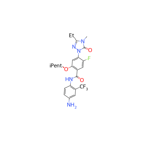 CCC[C@H](C)Oc1cc(-n2nc(CC)n(C)c2=O)c(F)cc1C(=O)Nc1ccc(N)cc1C(F)(F)F